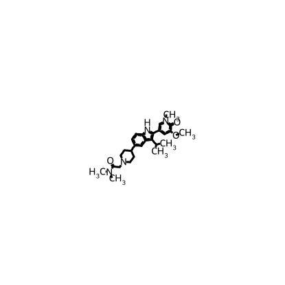 COc1cc(-c2[nH]c3ccc(C4CCN(CC(=O)N(C)C)CC4)cc3c2C(C)C)cn(C)c1=O